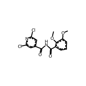 COc1cccc(C(=O)NC(=O)c2cc(Cl)nc(Cl)c2)c1OC